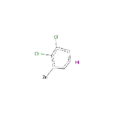 Clc1ccc[c]([Zn])c1Cl.I